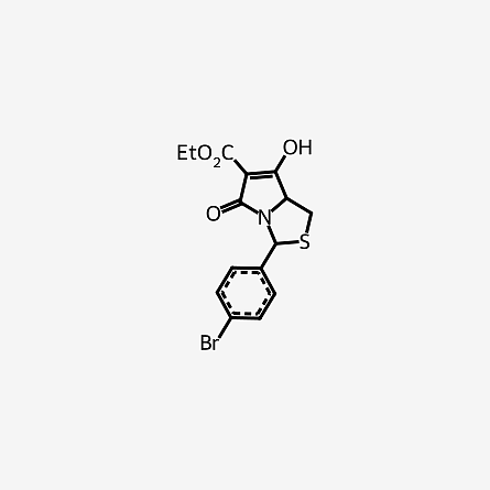 CCOC(=O)C1=C(O)C2CSC(c3ccc(Br)cc3)N2C1=O